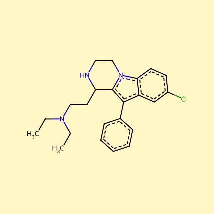 CCN(CC)CCC1NCCn2c1c(-c1ccccc1)c1cc(Cl)ccc12